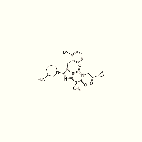 Cn1c(=O)n(CC(=O)C2CC2)c(=O)c2c1nc(N1CCCC(N)C1)n2Cc1ccccc1Br